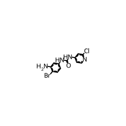 Nc1cc(NC(=O)Nc2ccnc(Cl)c2)ccc1Br